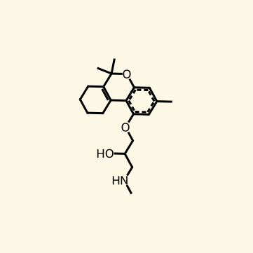 CNCC(O)COc1cc(C)cc2c1C1=C(CCCC1)C(C)(C)O2